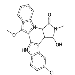 COc1c2n(c3ccccc13)C1C(=O)N(C)C(O)C1c1c-2[nH]c2ccc(Cl)cc12